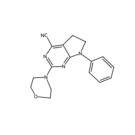 N#Cc1nc(N2CCOCC2)nc2c1CCN2c1ccccc1